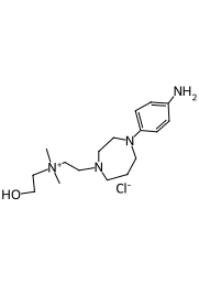 C[N+](C)(CCO)CCN1CCCN(c2ccc(N)cc2)CC1.[Cl-]